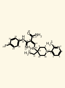 Cc1ncccc1N1CCC(CN)(N/C=C(\C(=N)Nc2ccc(F)cc2)C(N)=O)CC1